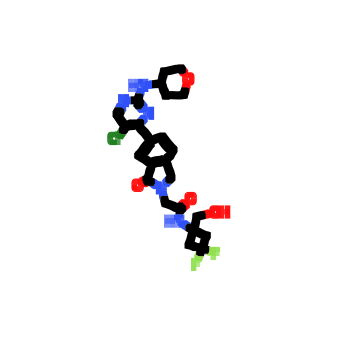 O=C(CN1Cc2ccc(-c3nc(NC4CCOCC4)ncc3Cl)cc2C1=O)NC1(CO)CC(F)(F)C1